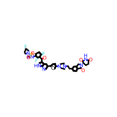 O=C1CCC(N2Cc3cc(CCN4CCN(c5ccc(-c6cnc7[nH]cc(C(=O)c8c(F)ccc(NS(=O)(=O)N9CC[C@@H](F)C9)c8F)c7c6)cc5)CC4)ccc3C2=O)C(=O)N1